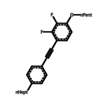 CCCCCCCc1ccc(C#Cc2ccc(OCCCCC)c(F)c2F)cc1